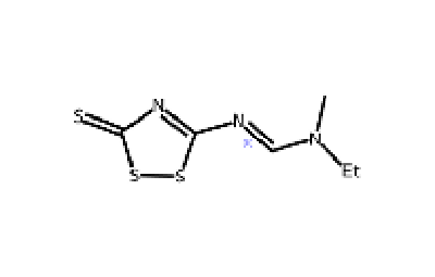 CCN(C)/C=N/c1nc(=S)ss1